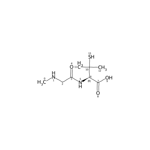 CNCC(=O)N[C@H](C(=O)O)C(C)(C)S